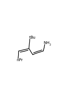 CCC/C=C(\C=C/N)C(C)(C)C